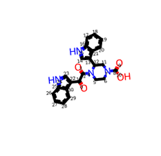 O=C(C(=O)N1CCN(C(=O)O)CC1c1c[nH]c2ccccc12)c1c[nH]c2ccccc12